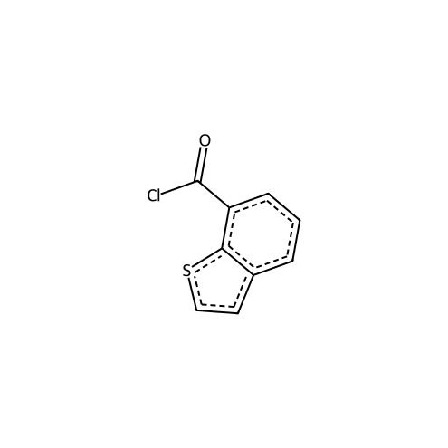 O=C(Cl)c1cccc2ccsc12